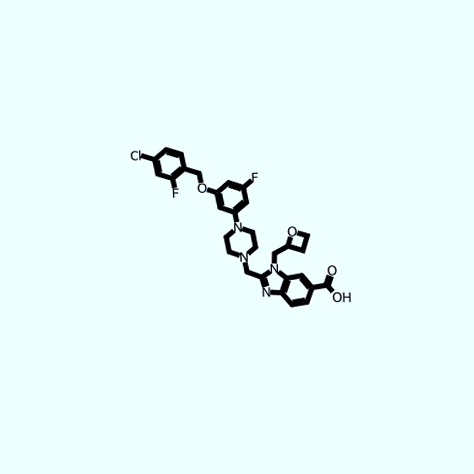 O=C(O)c1ccc2nc(CN3CCN(c4cc(F)cc(OCc5ccc(Cl)cc5F)c4)CC3)n(CC3CCO3)c2c1